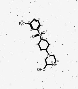 O=CC1CN(C2CCC(S(=O)(=O)c3cccc(C(F)(F)F)c3)CC2)CCN1